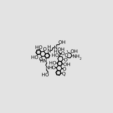 COc1cccc2c1C(=O)c1c(O)c3c(c(O)c1C2=O)C[C@@](O)(C(=O)CO)C[C@@H]3O[C@H]1C[C@H](N)[C@@H](O)[C@H](C)O1.O=C1c2c(O)ccc(O)c2C(=O)c2c(NCCNCCO)ccc(NCCNCCO)c21